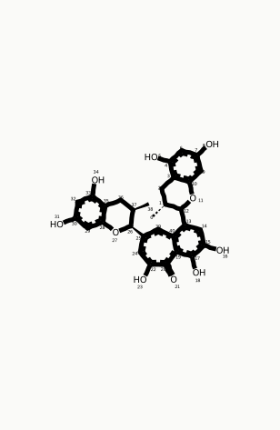 C[C@@H]1Cc2c(O)cc(O)cc2OC1c1cc(O)c(O)c2c(=O)c(O)cc([C@H]3Oc4cc(O)cc(O)c4C[C@H]3C)cc12